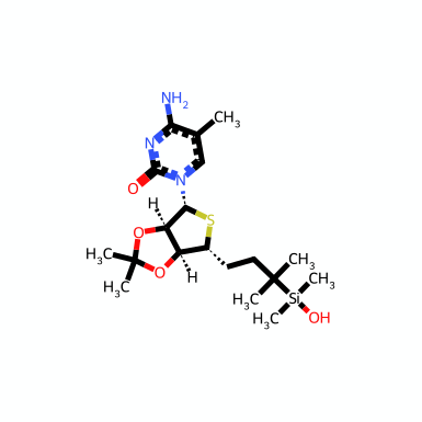 Cc1cn([C@@H]2S[C@H](CCC(C)(C)[Si](C)(C)O)[C@H]3OC(C)(C)O[C@H]32)c(=O)nc1N